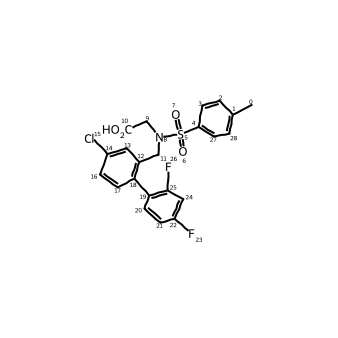 Cc1ccc(S(=O)(=O)N(CC(=O)O)Cc2cc(Cl)ccc2-c2ccc(F)cc2F)cc1